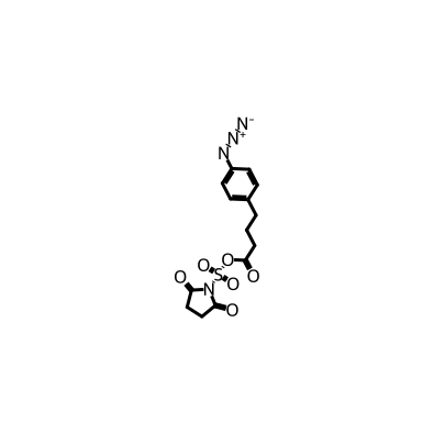 [N-]=[N+]=Nc1ccc(CCCC(=O)OS(=O)(=O)N2C(=O)CCC2=O)cc1